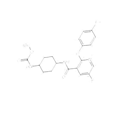 CC(C)(C)OC(=O)NC1CCC(NC(=O)c2cc(F)cnc2Oc2ccc(F)cc2)CC1